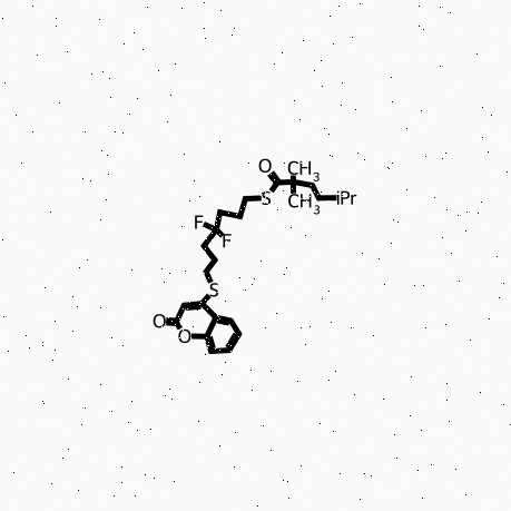 CC(C)CCC(C)(C)C(=O)SCCCC(F)(F)CCCSc1cc(=O)oc2ccccc12